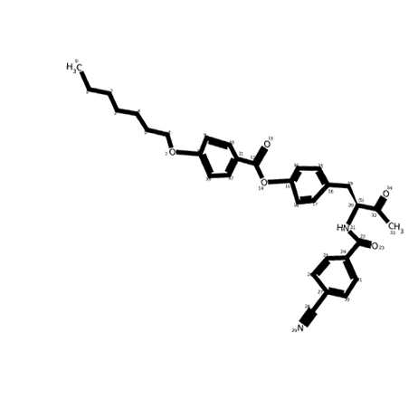 CCCCCCCOc1ccc(C(=O)Oc2ccc(C[C@H](NC(=O)c3ccc(C#N)cc3)C(C)=O)cc2)cc1